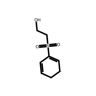 O=S(=O)(CCO)C1=C[CH]CC=C1